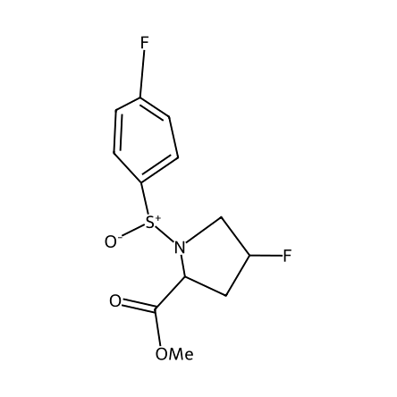 COC(=O)C1CC(F)CN1[S+]([O-])c1ccc(F)cc1